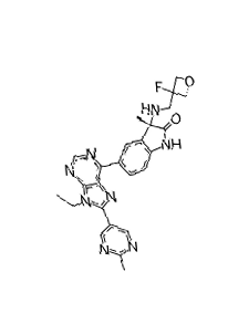 CCn1c(-c2cnc(C)nc2)nc2c(-c3ccc4c(c3)[C@](C)(NCC3(F)COC3)C(=O)N4)ncnc21